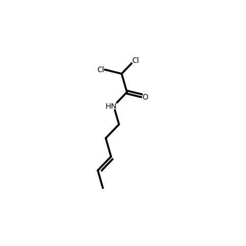 CC=CCCNC(=O)C(Cl)Cl